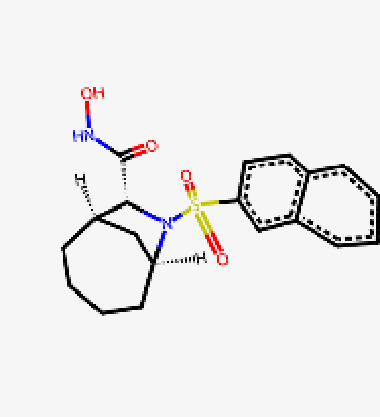 O=C(NO)[C@H]1[C@@H]2CCCC[C@@H](C2)N1S(=O)(=O)c1ccc2ccccc2c1